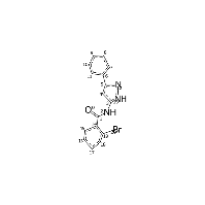 O=C(Nc1cc(-c2ccccc2)n[nH]1)c1ccccc1Br